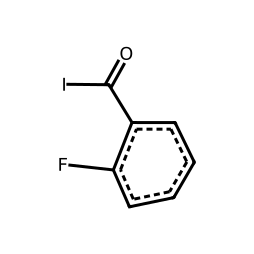 O=C(I)c1ccccc1F